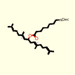 CCCCCCCCCCCCCCCCCC(=O)OC(/C=C(\C)CCC=C(C)C)C/C=C(\C)CCC=C(C)C